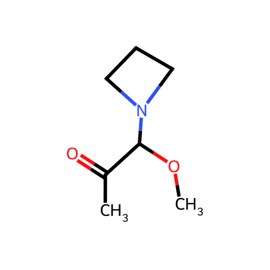 COC(C(C)=O)N1CCC1